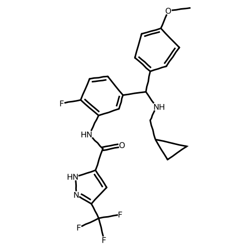 COc1ccc(C(NCC2CC2)c2ccc(F)c(NC(=O)c3cc(C(F)(F)F)n[nH]3)c2)cc1